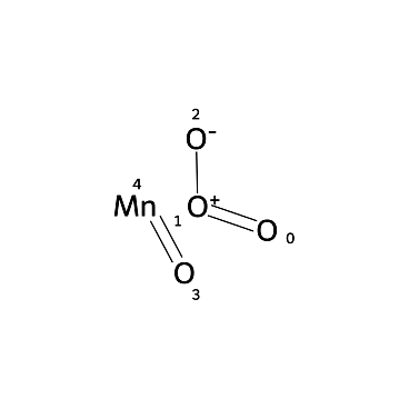 O=[O+][O-].[O]=[Mn]